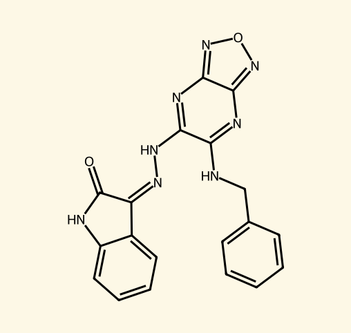 O=C1Nc2ccccc2/C1=N/Nc1nc2nonc2nc1NCc1ccccc1